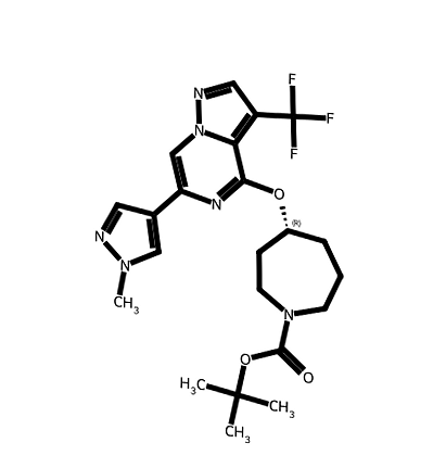 Cn1cc(-c2cn3ncc(C(F)(F)F)c3c(O[C@@H]3CCCN(C(=O)OC(C)(C)C)CC3)n2)cn1